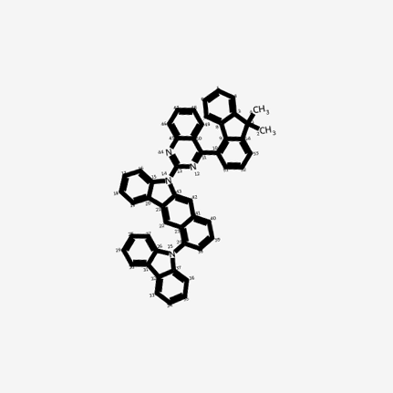 CC1(C)c2ccccc2-c2c(-c3nc(-n4c5ccccc5c5cc6c(-n7c8ccccc8c8ccccc87)cccc6cc54)nc4ccccc34)cccc21